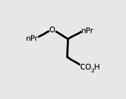 CCCOC(CCC)CC(=O)O